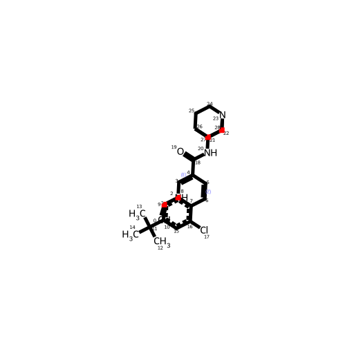 C=CN/C=C(\C=C/c1ccc(C(C)(C)C)cc1Cl)C(=O)NC1CN2CCC1CC2